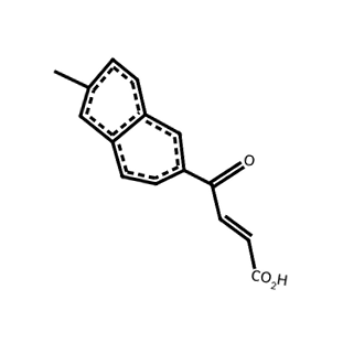 Cc1ccc2cc(C(=O)/C=C/C(=O)O)ccc2c1